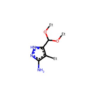 CCOC(OCC)c1[nH]nc(N)c1CC